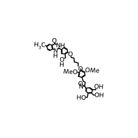 COc1cc(C2CC(c3cc(CO)c(CO)c(CO)c3)=NO2)cc(OC)c1OCCCCCOc1ccc(C2NC(=O)c3cc(C)ccc3N2)cc1CO